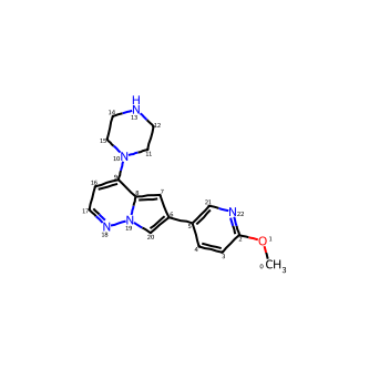 COc1ccc(-c2cc3c(N4CCNCC4)ccnn3c2)cn1